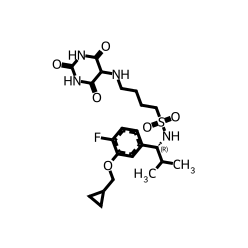 CC(C)[C@@H](NS(=O)(=O)CCCCNC1C(=O)NC(=O)NC1=O)c1ccc(F)c(OCC2CC2)c1